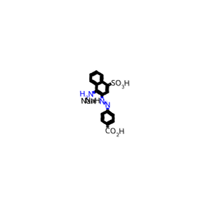 Nc1c(/N=N/c2ccc(C(=O)O)cc2)cc(S(=O)(=O)O)c2ccccc12.[NaH].[NaH]